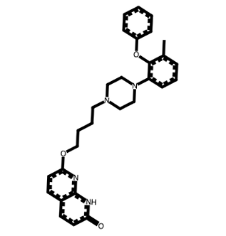 Cc1cccc(N2CCN(CCCCOc3ccc4ccc(=O)[nH]c4n3)CC2)c1Oc1ccccc1